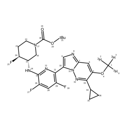 [2H]C([2H])([2H])Oc1cc2ncc(-c3nc(N[C@H]4CN(C(=O)OC(C)(C)C)CC[C@@H]4F)c(F)cc3F)n2nc1C1CC1